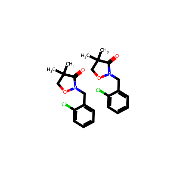 CC1(C)CON(Cc2ccccc2Cl)C1=O.CC1(C)CON(Cc2ccccc2Cl)C1=O